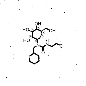 O=C(NCCCl)N(CC1CCCCC1)[C@@H]1O[C@H](CO)[C@H](O)[C@H](O)[C@H]1O